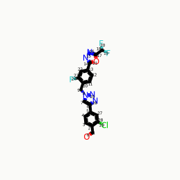 O=Cc1ccc(-c2cn(Cc3ccc(-c4nnc(C(F)F)o4)cc3F)nn2)cc1Cl